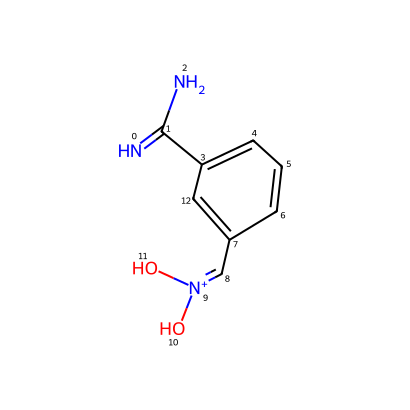 N=C(N)c1cccc(C=[N+](O)O)c1